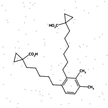 Cc1ccc(CCCCCC2(C(=O)O)CC2)c(CCCCCCC2(C(=O)O)CC2)c1C